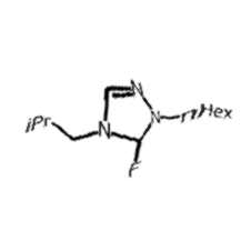 CCCCCCN1N=CN(CC(C)C)C1F